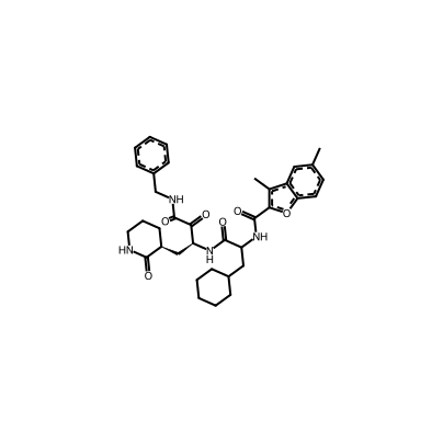 Cc1ccc2oc(C(=O)NC(CC3CCCCC3)C(=O)N[C@@H](C[C@@H]3CCCNC3=O)C(=O)C(=O)NCc3ccccc3)c(C)c2c1